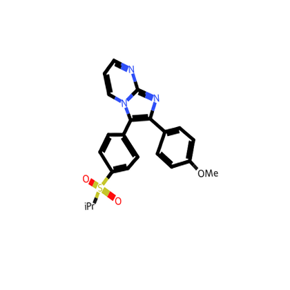 COc1ccc(-c2nc3ncccn3c2-c2ccc(S(=O)(=O)C(C)C)cc2)cc1